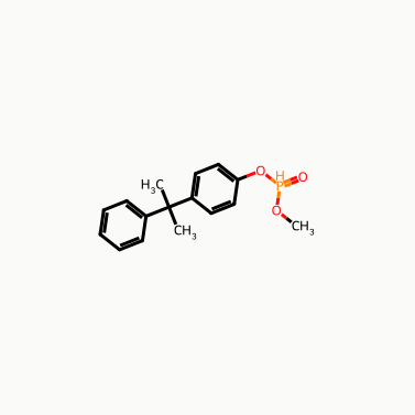 CO[PH](=O)Oc1ccc(C(C)(C)c2ccccc2)cc1